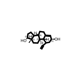 C#CC1C[C@H](O)C=C2CC[C@@H]3[C@H](CC[C@]4(C)[C@@H](O)CC[C@@H]34)[C@H]21